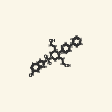 O=S(=O)(c1cc2ccc(Cl)cc2s1)N1CC(CCO)N(c2ncc(-c3ccncc3)cn2)C(CCO)C1